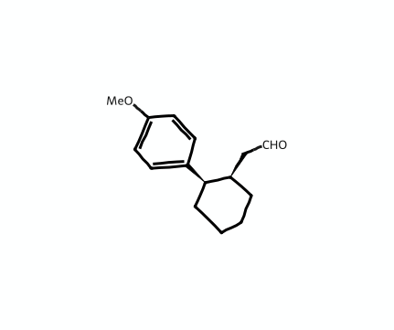 COc1ccc([C@@H]2CCCC[C@@H]2CC=O)cc1